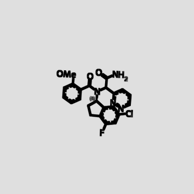 COc1ccccc1C(=O)N(C(C(N)=O)c1cccnn1)[C@@H]1CCc2c(F)cc(Cl)cc21